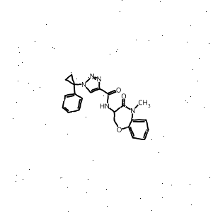 CN1C(=O)C(NC(=O)c2cn(C3(c4ccccc4)CC3)nn2)COc2ccccc21